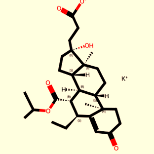 CC[C@@H]1C2=CC(=O)CC[C@]2(C)[C@H]2CC[C@@]3(C)[C@@H](CC[C@@]3(O)CCC(=O)[O-])[C@@H]2[C@H]1C(=O)OC(C)C.[K+]